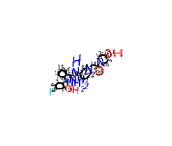 N/C(c1ccc(F)cc1O)=c1/cccc/c1=C(/N)NC1CCCN(CC(=O)N2CCC(O)CC2)C1